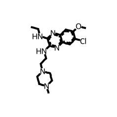 CCNc1nc2cc(OC)c(Cl)cc2nc1NCCN1CCN(C)CC1